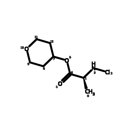 C[C@H](NCl)C(=O)OC1CCOCC1